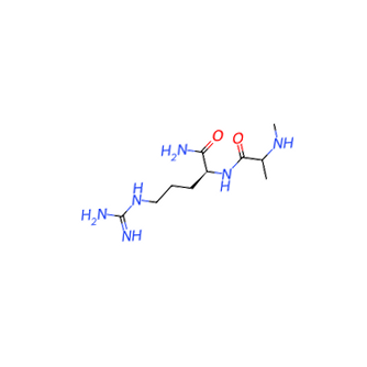 CNC(C)C(=O)N[C@@H](CCCNC(=N)N)C(N)=O